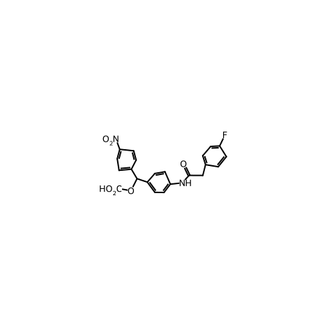 O=C(Cc1ccc(F)cc1)Nc1ccc(C(OC(=O)O)c2ccc([N+](=O)[O-])cc2)cc1